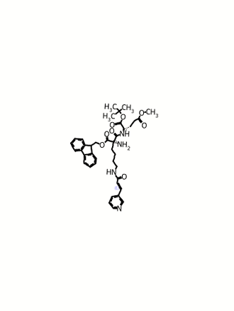 COC(=O)CC[C@H](NC(=O)[C@@](N)(CCCCNC(=O)/C=C/c1cccnc1)C(=O)OCC1c2ccccc2-c2ccccc21)C(=O)OC(C)(C)C